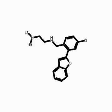 CCN(CC)CCNCc1ccc(Cl)cc1-c1cc2ccccc2o1